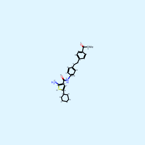 COC(=O)c1ccc(CCc2ccc(NC(=O)c3cc(C4CCCCC4)sc3N)cc2)cc1